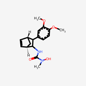 COc1ccc(C2C(NC(=O)N(C)O)[C@H]3C=C[C@H]2C3)cc1OC